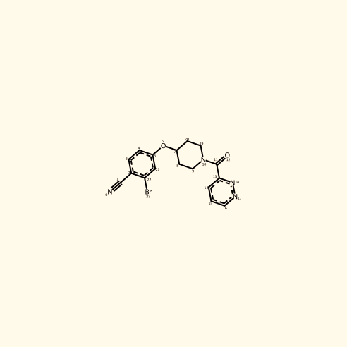 N#Cc1ccc(OC2CCN(C(=O)c3cccnn3)CC2)cc1Br